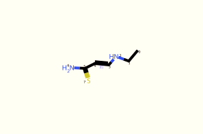 CCN/C=C/C(N)=S